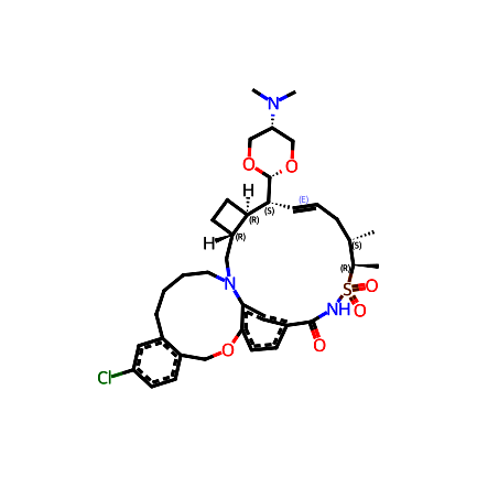 C[C@@H]1[C@@H](C)C/C=C/[C@@H]([C@H]2OC[C@@H](N(C)C)CO2)[C@@H]2CC[C@H]2CN2CCCCc3cc(Cl)ccc3COc3ccc(cc32)C(=O)NS1(=O)=O